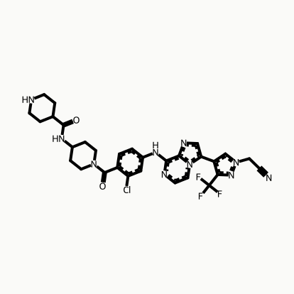 N#CCn1cc(-c2cnc3c(Nc4ccc(C(=O)N5CCC(NC(=O)C6CCNCC6)CC5)c(Cl)c4)nccn23)c(C(F)(F)F)n1